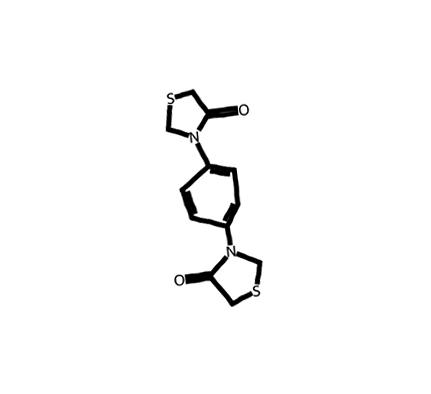 O=C1CSCN1c1ccc(N2CSCC2=O)cc1